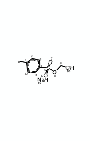 Cc1ccc(S(=O)(=O)OCO)cc1.[NaH]